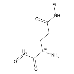 CCNC(=O)CC[C@H](N)C(=O)[PH2]=O